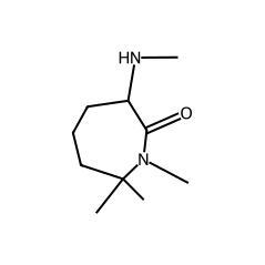 CNC1CCCC(C)(C)N(C)C1=O